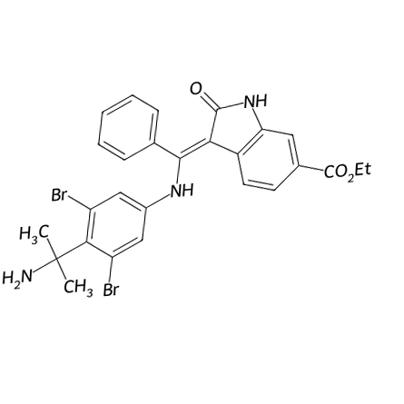 CCOC(=O)c1ccc2c(c1)NC(=O)C2=C(Nc1cc(Br)c(C(C)(C)N)c(Br)c1)c1ccccc1